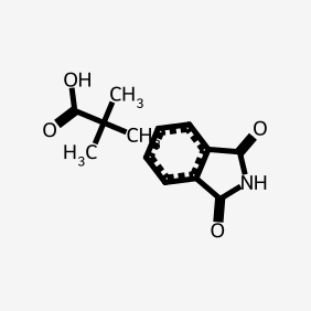 CC(C)(C)C(=O)O.O=C1NC(=O)c2ccccc21